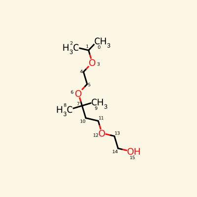 CC(C)OCCOC(C)(C)CCOCCO